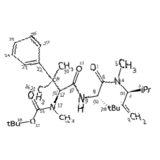 C=C[C@H](C(C)C)N(C)C(=O)[C@@H](NC(=O)[C@@H](N(C)C(=O)OC(C)(C)C)C(C)(C)c1ccccc1)C(C)(C)C